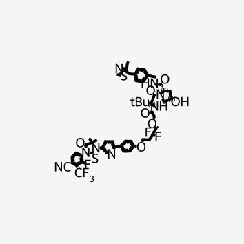 Cc1ncsc1-c1ccc(CNC(=O)[C@@H]2C[C@@H](O)CN2C(=O)[C@@H](NC(=O)COCC(F)(F)CCOc2ccc(-c3ccc(N4C(=S)N(c5ccc(C#N)c(C(F)(F)F)c5F)C(=O)C4(C)C)cn3)cc2)C(C)(C)C)cc1